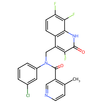 Cc1ccncc1C(=O)N(Cc1c(F)c(=O)[nH]c2c(F)c(F)ccc12)c1cccc(Cl)c1